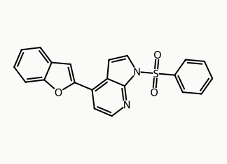 O=S(=O)(c1ccccc1)n1ccc2c(-c3cc4ccccc4o3)ccnc21